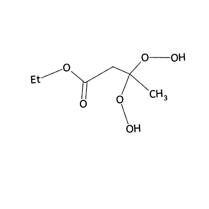 CCOC(=O)CC(C)(OO)OO